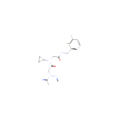 C=NN(CC(=O)N(CC(=O)NCc1cccc(Cl)c1F)C1CC1)C(C)=N